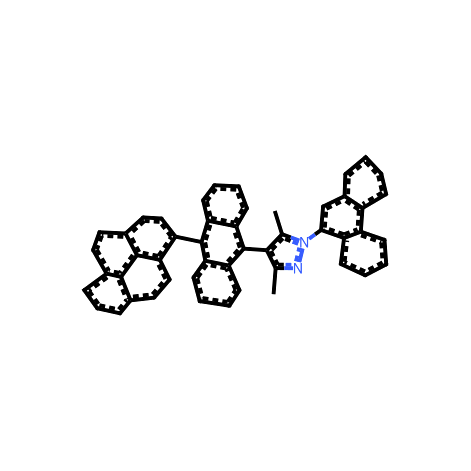 Cc1nn(-c2cc3ccccc3c3ccccc23)c(C)c1-c1c2ccccc2c(-c2ccc3ccc4cccc5ccc2c3c45)c2ccccc12